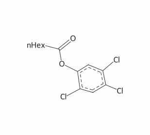 CCCCCCC(=O)Oc1cc(Cl)c(Cl)cc1Cl